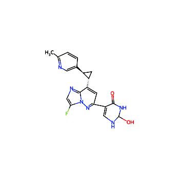 Cc1ccc([C@H]2C[C@@H]2c2cc(C3=CNC(O)NC3=O)nn3c(F)cnc23)cn1